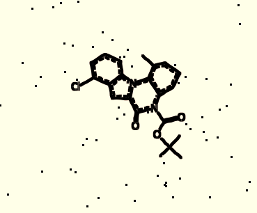 Cc1cccc2c1n1c(cc3c(Cl)cccc31)c(=O)n2C(=O)OC(C)(C)C